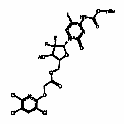 CCCCOC(=O)Nc1nc(=O)n([C@@H]2O[C@H](COC(=O)COc3nc(Cl)c(Cl)cc3Cl)C(O)C2(F)F)cc1I